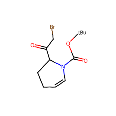 CC(C)(C)OC(=O)N1C=CCCC1C(=O)CBr